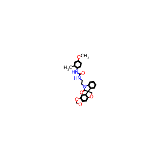 COc1ccc(NC(=O)NCCN2C(=O)C3(COc4cc5c(cc43)OCO5)c3ccccc32)c(C)c1